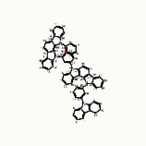 C1=Cc2c(c3ccccc3n2-c2cccc(-n3c4ccccc4c4ccc5c(c6ccccc6n5-c5cccc(-n6c7ccccc7c7ccc8c9ccccc9n(-c9ccccc9)c8c76)c5)c43)c2)CC1